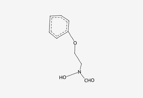 O=CN(O)CCOc1ccccc1